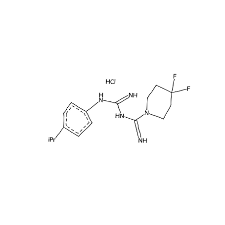 CC(C)c1ccc(NC(=N)NC(=N)N2CCC(F)(F)CC2)cc1.Cl